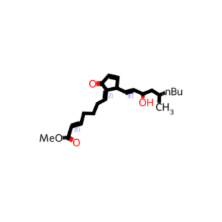 CCCCC(C)CC(O)/C=C/C1C=CC(=O)/C1=C\CCC/C=C/C(=O)OC